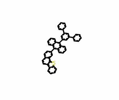 c1ccc(-c2cc(-c3ccccc3)cc(-c3c4ccccc4c(-c4ccc5ccc6c7ccccc7sc6c5c4)c4ccccc34)c2)cc1